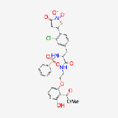 COC(=O)c1c(O)cccc1OCCNC(=O)C(Cc1ccc(C2CC(=O)[N+]([O-])([O-])S2)c(Cl)c1)NS(=O)(=O)c1ccccc1